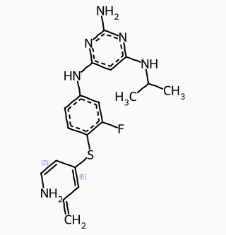 C=C/C=C(\C=C/N)Sc1ccc(Nc2cc(NC(C)C)nc(N)n2)cc1F